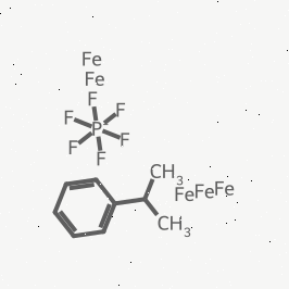 CC(C)c1ccccc1.F[P-](F)(F)(F)(F)F.[Fe].[Fe].[Fe].[Fe].[Fe]